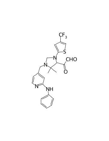 CC1(C)C(C(=O)C=O)N(c2cc(C(F)(F)F)cs2)CN1Cc1ccnc(Nc2ccccc2)c1